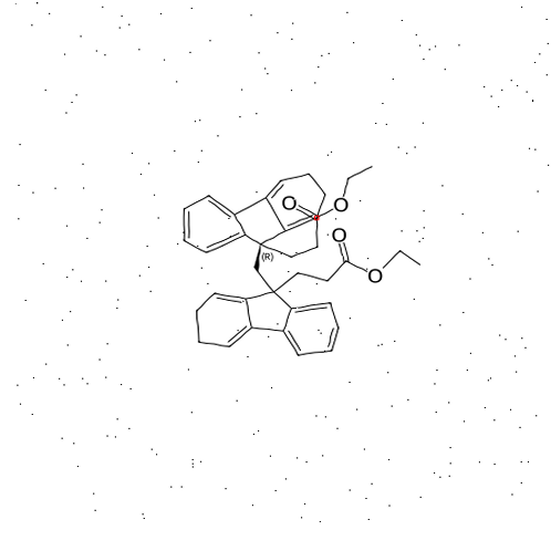 CCOC(=O)CCC1(C[C@]2(CCC(=O)OCC)C3=CCCC=C3c3ccccc32)C2=CCCC=C2c2ccccc21